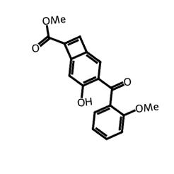 COC(=O)C1=Cc2cc(C(=O)c3ccccc3OC)c(O)cc21